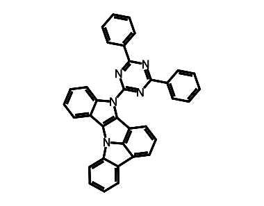 c1ccc(-c2nc(-c3ccccc3)nc(-n3c4ccccc4c4c3c3cccc5c6ccccc6n4c53)n2)cc1